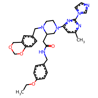 CCOc1ccc(CNC(=O)CC2CN(c3cc(C)nc(-n4ccnc4)n3)CCN2Cc2ccc3c(c2)COCO3)cc1